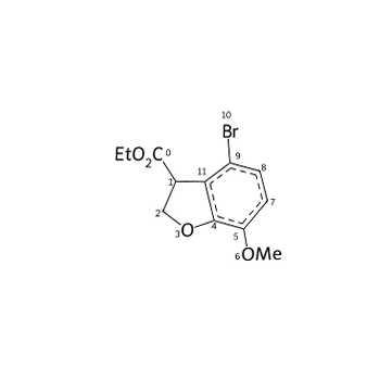 CCOC(=O)C1COc2c(OC)ccc(Br)c21